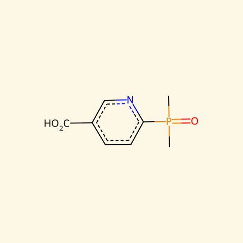 CP(C)(=O)c1ccc(C(=O)O)cn1